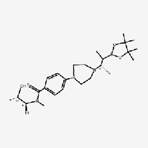 CC[C@@H]([C@H](C)O)N(C)C(=O)c1ccc(N2CCN([C@@H](C)C(C)B3OC(C)(C)C(C)(C)O3)CC2)cc1